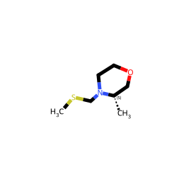 CSCN1CCOC[C@@H]1C